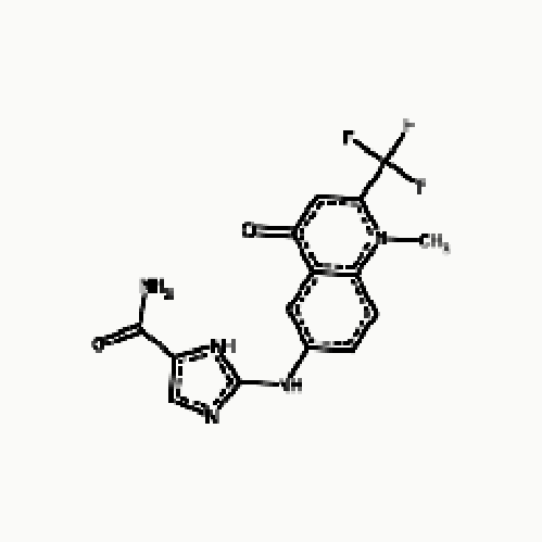 Cn1c(C(F)(F)F)cc(=O)c2cc(Nc3ncc(C(N)=O)[nH]3)ccc21